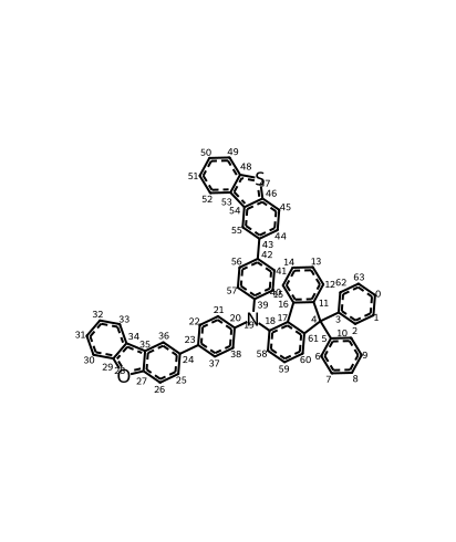 c1ccc(C2(c3ccccc3)c3ccccc3-c3c(N(c4ccc(-c5ccc6oc7ccccc7c6c5)cc4)c4ccc(-c5ccc6sc7ccccc7c6c5)cc4)cccc32)cc1